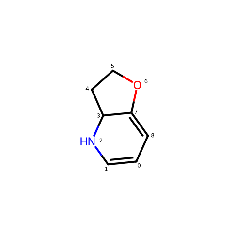 C1=CNC2CCOC2=C1